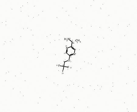 C[C@@H](N)c1cnc(OCC(F)(F)F)cn1